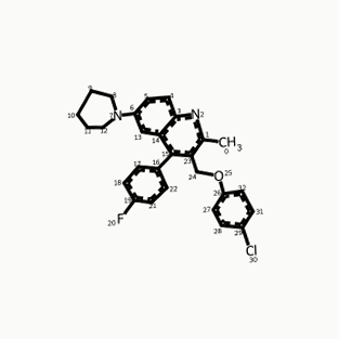 Cc1nc2ccc(N3CCCCC3)cc2c(-c2ccc(F)cc2)c1COc1ccc(Cl)cc1